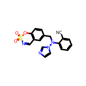 N#Cc1ccccc1N(Cc1ccc2c(c1)C=NS(=O)(=O)O2)n1ccnc1